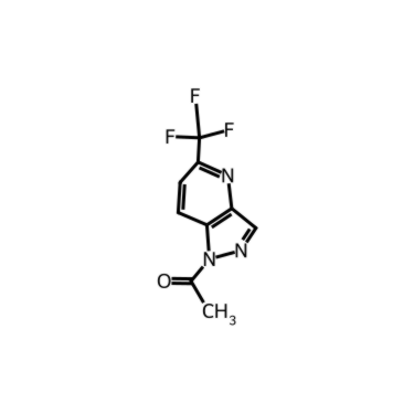 CC(=O)n1ncc2nc(C(F)(F)F)ccc21